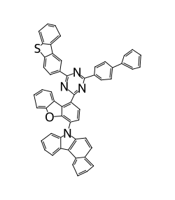 c1ccc(-c2ccc(-c3nc(-c4ccc5sc6ccccc6c5c4)nc(-c4ccc(-n5c6ccccc6c6c7ccccc7ccc65)c5oc6ccccc6c45)n3)cc2)cc1